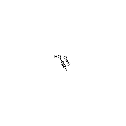 N#[Si]O.O=[Si]